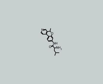 CC(C)CC(N)C(=O)Nc1ccc2c(c1)OC(C)c1cnccc1-2